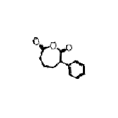 O=C1CCCC(c2ccccc2)C(=O)O1